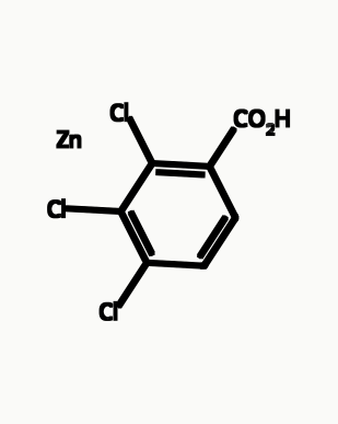 O=C(O)c1ccc(Cl)c(Cl)c1Cl.[Zn]